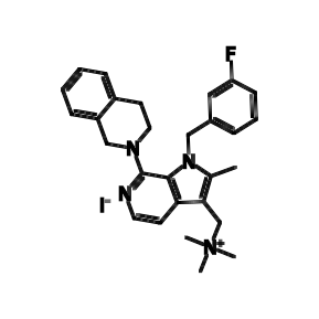 Cc1c(C[N+](C)(C)C)c2ccnc(N3CCc4ccccc4C3)c2n1Cc1cccc(F)c1.[I-]